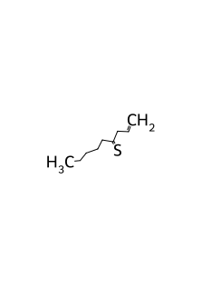 C=CCC(=S)CCCCC